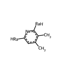 Cc1c[c]([RaH])n[c]([RaH])c1C